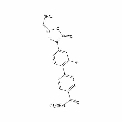 CC(=O)NC[C@H]1CN(c2ccc(-c3ccc(C(=O)N(C)O)cc3)c(F)c2)C(=O)O1